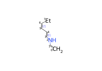 C=CN/C=C/C=C\CC